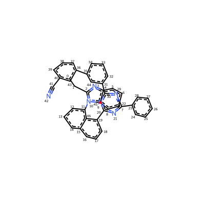 CCc1nc2ccccc2n1-c1cccc2cccc(-c3nc(-c4ccccc4)nc(-c4cccc(-c5cccc(C#N)c5)c4)n3)c12